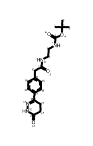 CC(C)(C)OC(=O)NCCNC(=O)Cc1ccc(C2=NNC(=O)CC2)cc1